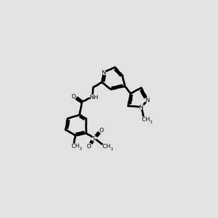 Cc1ccc(C(=O)NCc2cc(-c3cnn(C)c3)ccn2)cc1S(C)(=O)=O